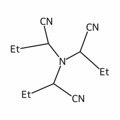 CCC(C#N)N(C(C#N)CC)C(C#N)CC